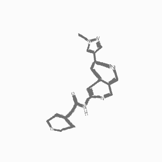 Cn1cc(-c2cc3cc(NC(=O)C4CCOCC4)ncc3cn2)cn1